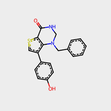 O=C1NCN(Cc2ccccc2)c2c(-c3ccc(O)cc3)csc21